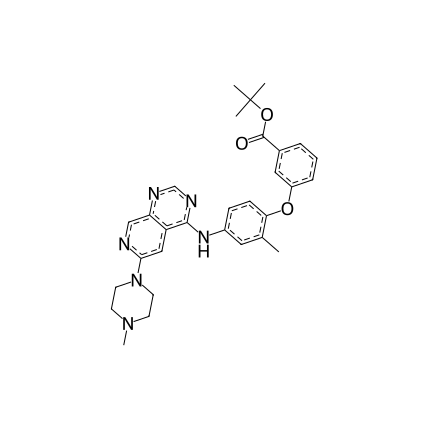 Cc1cc(Nc2ncnc3cnc(N4CCN(C)CC4)cc23)ccc1Oc1cccc(C(=O)OC(C)(C)C)c1